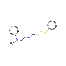 CN(CCNCCCSc1ccccc1)c1ccccc1